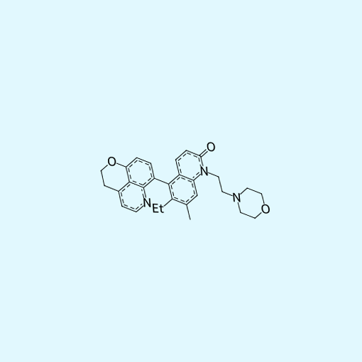 CCc1c(C)cc2c(ccc(=O)n2CCN2CCOCC2)c1-c1ccc2c3c(ccnc13)CCO2